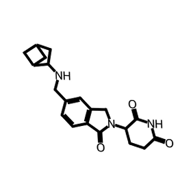 O=C1CCC(N2Cc3cc(CNC4CC5CC4C5)ccc3C2=O)C(=O)N1